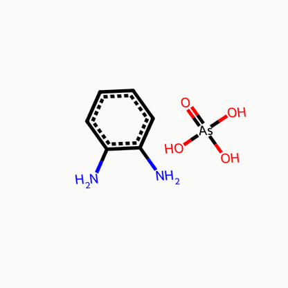 Nc1ccccc1N.O=[As](O)(O)O